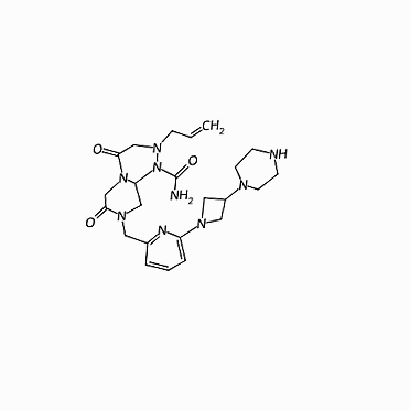 C=CCN1CC(=O)N2CC(=O)N(Cc3cccc(N4CC(N5CCNCC5)C4)n3)CC2N1C(N)=O